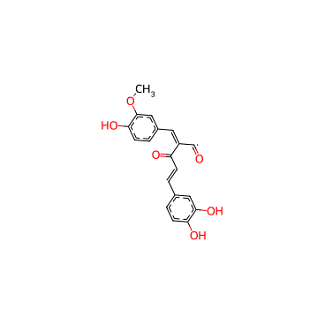 COc1cc(C=C([C]=O)C(=O)C=Cc2ccc(O)c(O)c2)ccc1O